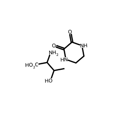 CC(O)C(N)C(=O)O.O=C1NCCNC1=O